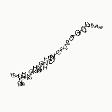 COCCOCCOCCOCCOCCOCCOCCOCCNC(=O)CNC(=O)CNC(=O)CNC(=O)CNC(=O)[C@H](CCC(=O)OC(C)(C)C)NC(=O)OC(C)(C)C